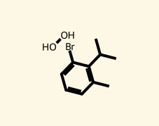 Cc1cccc(Br)c1C(C)C.OO